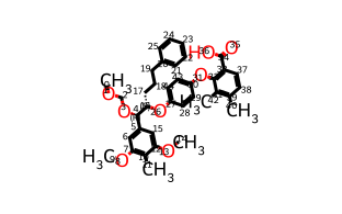 COCO[C@H](c1cc(OC)c(C)c(OC)c1)[C@H](CCCc1ccccc1)Oc1ccc(Oc2c(C(=O)O)ccc(C)c2C)cc1